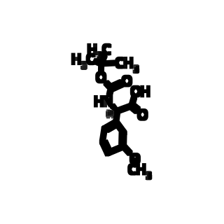 COc1cccc([C@@H](NC(=O)OC(C)(C)C)C(=O)O)c1